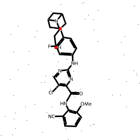 COc1cccc(C#N)c1NC(=O)c1nc(Nc2ccc(N3CC4CC(C3)N4CCO)c(F)c2)ncc1Cl